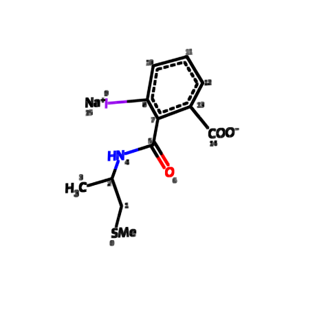 CSCC(C)NC(=O)c1c(I)cccc1C(=O)[O-].[Na+]